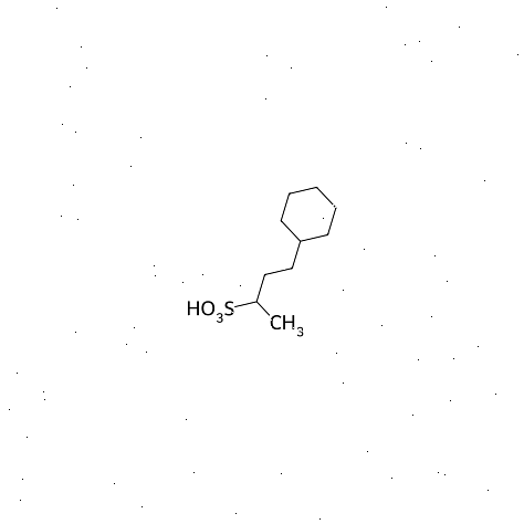 CC(CCC1CCCCC1)S(=O)(=O)O